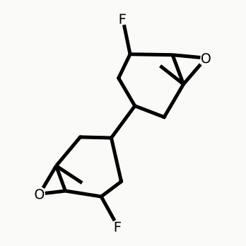 CC12CC(C3CC(F)C4OC4(C)C3)CC(F)C1O2